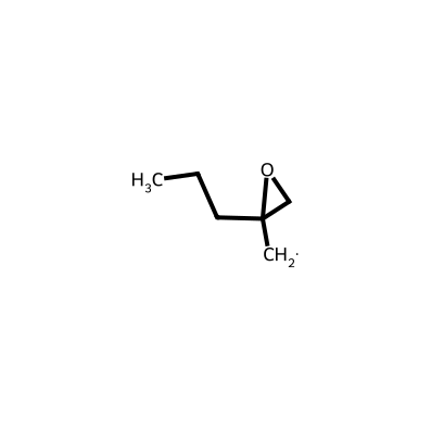 [CH2]C1(CCC)CO1